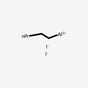 CCCC[CH2][Al+2].[I-].[I-]